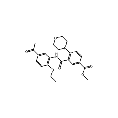 CCOc1ccc(C(C)=O)cc1NC(=O)c1cc(C(=O)OC)ccc1N1CCOCC1